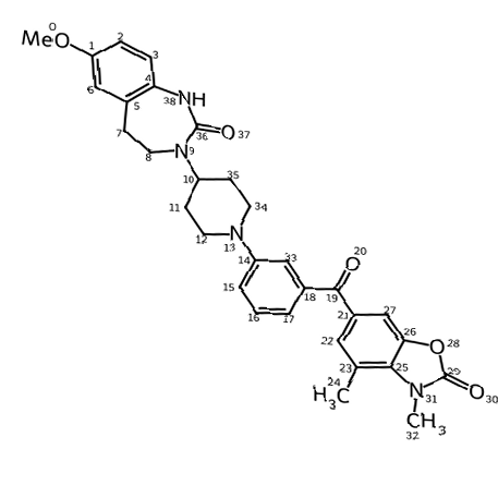 COc1ccc2c(c1)CCN(C1CCN(c3cccc(C(=O)c4cc(C)c5c(c4)oc(=O)n5C)c3)CC1)C(=O)N2